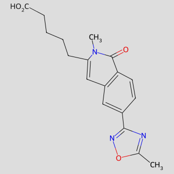 Cc1nc(-c2ccc3c(=O)n(C)c(CCCCC(=O)O)cc3c2)no1